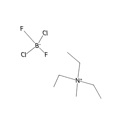 CC[N+](C)(CC)CC.F[B-](F)(Cl)Cl